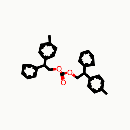 Cc1ccc(C(COC(=O)OCC(c2ccccc2)c2ccc(C)cc2)c2ccccc2)cc1